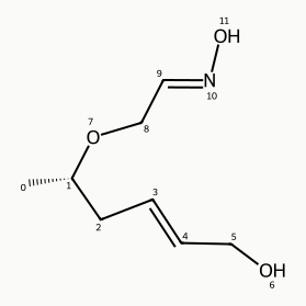 C[C@@H](CC=CCO)OCC=NO